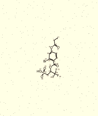 O=C(CI)Oc1ccc(C(=O)OC(CS(=O)(=O)O)C(F)(F)F)c(Br)c1